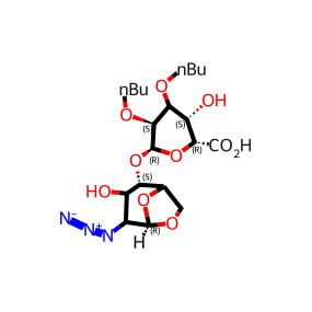 CCCCOC1[C@H](O)[C@H](C(=O)O)O[C@@H](O[C@@H]2C3CO[C@H](O3)C(N=[N+]=[N-])C2O)[C@H]1OCCCC